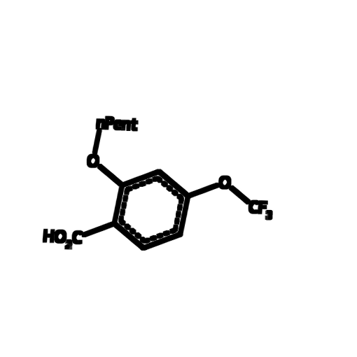 CCCCCOc1cc(OC(F)(F)F)ccc1C(=O)O